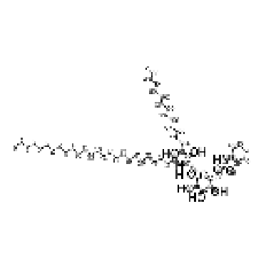 CCCCCCCCCCCCCCCCCCCCCCCCCCN[C@@H](CO[C@H]1O[C@H](COC(=O)NC2CCCCC2)[C@H](O)[C@H](O)[C@H]1O)[C@H](O)[C@H](O)CCCCCCCCCCCCCC